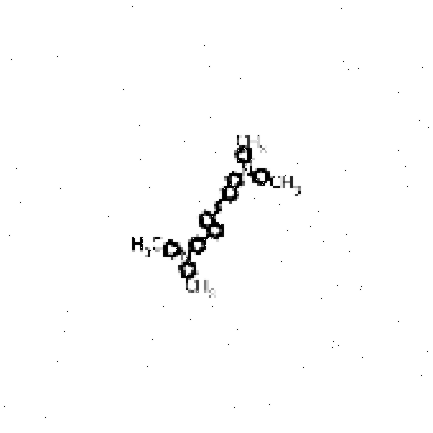 Cc1ccc(N(c2ccc(C)cc2)c2ccc(-c3cccc4c(/C=C/c5ccc6cc(N(c7ccc(C)cc7)c7ccc(C)cc7)ccc6c5)cccc34)cc2)cc1